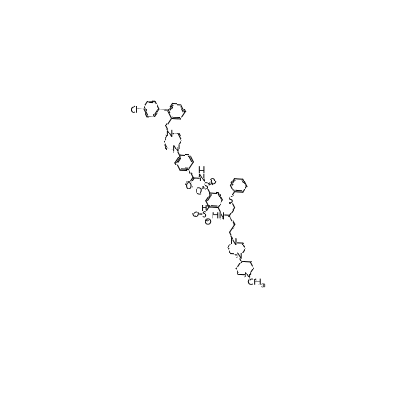 CN1CCC(N2CCN(CC[C@H](CSc3ccccc3)Nc3ccc(S(=O)(=O)NC(=O)c4ccc(N5CCN(Cc6ccccc6-c6ccc(Cl)cc6)CC5)cc4)cc3[SH](=O)=O)CC2)CC1